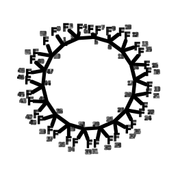 F[C]1C(F)(F)C(F)(F)C(F)(F)C(F)(F)C(F)(F)C(F)(F)C(F)(F)C(F)(F)C(F)(F)C(F)(F)C(F)(F)C(F)(F)C(F)(F)C(F)(F)C(F)(F)C(F)(F)C1(F)F